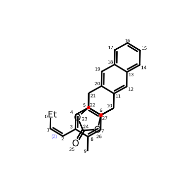 CC/C=C\c1cc2c(cc1C)C1c3cc4ccccc4cc3C2C2OC(=O)OC12